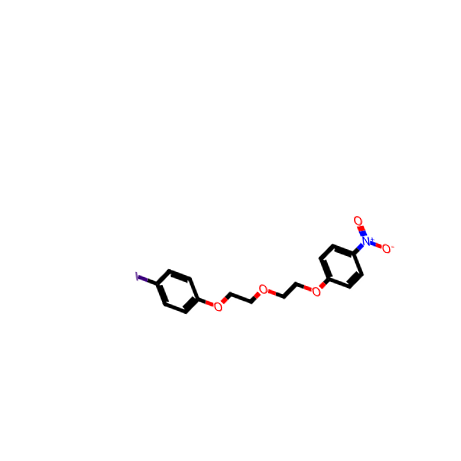 O=[N+]([O-])c1ccc(OCCOCCOc2ccc(I)cc2)cc1